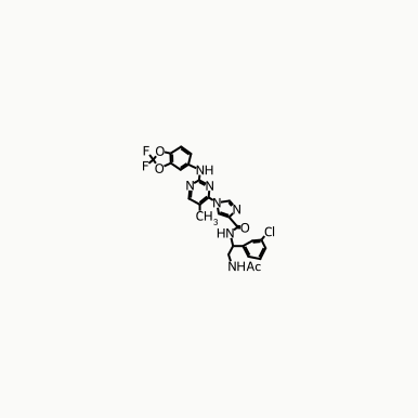 CC(=O)NCC(NC(=O)c1cn(-c2nc(Nc3ccc4c(c3)OC(F)(F)O4)ncc2C)cn1)c1cccc(Cl)c1